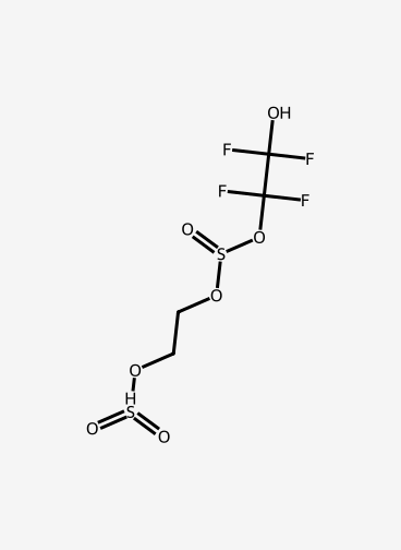 O=S(OCCO[SH](=O)=O)OC(F)(F)C(O)(F)F